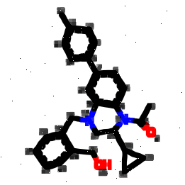 CC(=O)N1c2ccc(-c3ccc(C)cc3)cc2N(Cc2ccccc2CO)CC1C1CC1